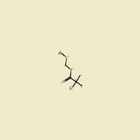 CCC(C)OCOC(=O)C(C)(C)CC